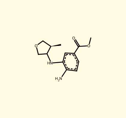 COC(=O)c1ccc(N)c(NC2COC[C@H]2C)c1